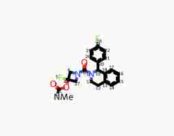 CNC(=O)OC1(F)CN(C(=O)N2CCc3ccccc3C2c2ccc(F)cc2)C1